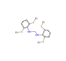 CCSc1cccc(SCC)c1NCNc1c(SCC)cccc1SCC